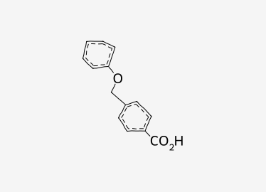 O=C(O)c1ccc(COc2ccccc2)cc1